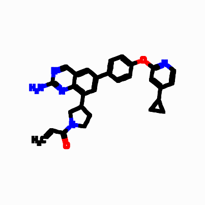 C=CC(=O)N1CCC(c2cc(-c3ccc(Oc4cc(C5CC5)ccn4)cc3)cc3cnc(N)nc23)C1